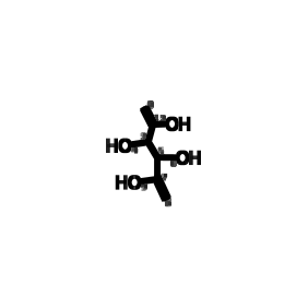 C=C(O)C(O)C(O)C(=C)O